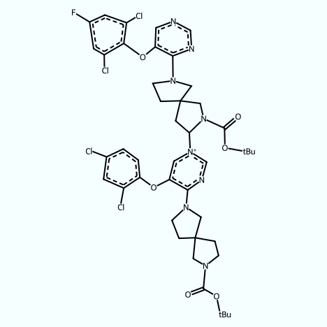 CC(C)(C)OC(=O)N1CCC2(CCN(c3nc[n+](C4CC5(CCN(c6ncncc6Oc6c(Cl)cc(F)cc6Cl)C5)CN4C(=O)OC(C)(C)C)cc3Oc3ccc(Cl)cc3Cl)C2)C1